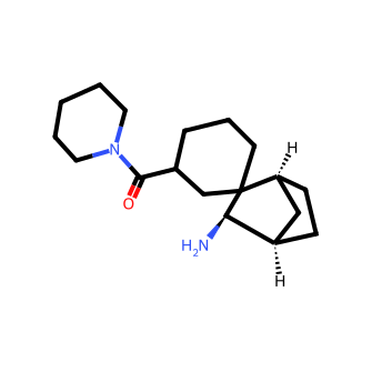 N[C@@H]1[C@@H]2CC[C@@H](C2)C12CCCC(C(=O)N1CCCCC1)C2